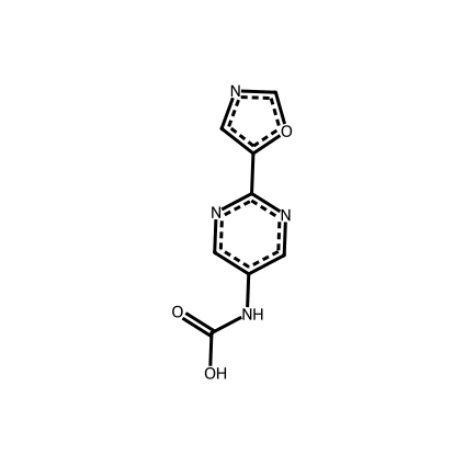 O=C(O)Nc1cnc(-c2cnco2)nc1